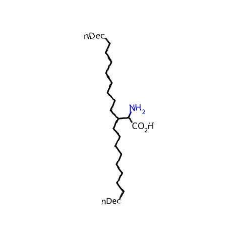 CCCCCCCCCCCCCCCCCCC(CCCCCCCCCCCCCCCCCC)C(N)C(=O)O